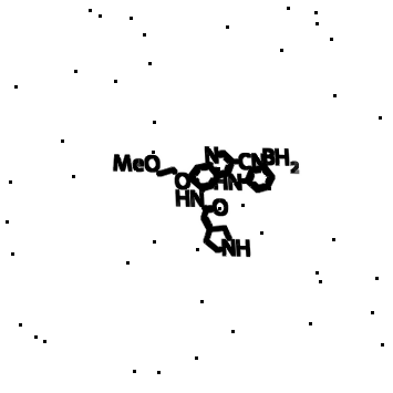 Bc1cccc(Nc2c(C#N)cnc3cc(OCCOC)c(NC(=O)C=C4CCNCC4)cc23)c1